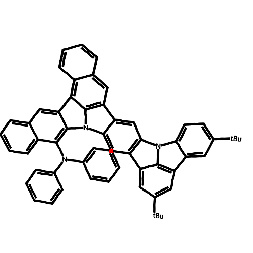 CC(C)(C)c1ccc2c(c1)c1cc(C(C)(C)C)cc3c4cc5c(cc4n2c13)c1cc2ccccc2c2c3cc4ccccc4c(N(c4ccccc4)c4ccccc4)c3n5c12